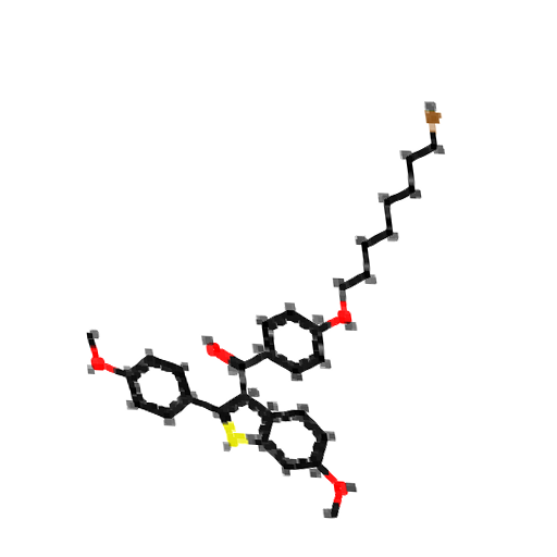 COc1ccc(-c2sc3cc(OC)ccc3c2C(=O)c2ccc(OCCCCCCCCBr)cc2)cc1